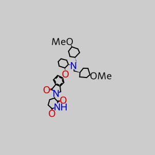 CO[C@H]1CC[C@H](CN(C[C@H]2CC[C@H](OC)CC2)[C@H]2CCCC[C@H]2Oc2ccc3c(c2)CN(C2CCC(=O)NC2=O)C3=O)CC1